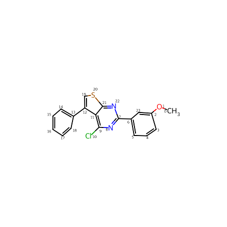 COc1cccc(-c2nc(Cl)c3c(-c4ccccc4)csc3n2)c1